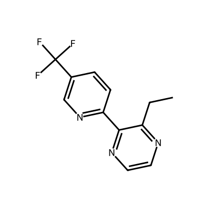 CCc1nccnc1-c1ccc(C(F)(F)F)cn1